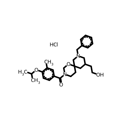 Cc1cc(C(=O)N2CCC3(CC(CCO)CN(Cc4ccccc4)C3)OC2)ccc1OC(C)C.Cl